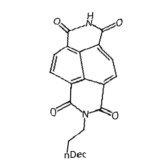 CCCCCCCCCCCCN1C(=O)c2ccc3c4c(ccc(c24)C1=O)C(=O)NC3=O